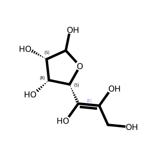 OC/C(O)=C(\O)[C@H]1OC(O)[C@@H](O)[C@H]1O